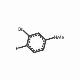 CNc1ccc(F)c(Br)c1